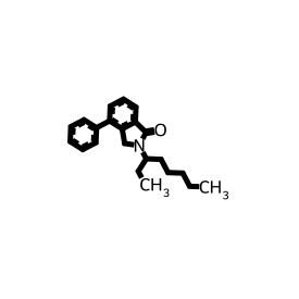 CCCCCC(CC)N1Cc2c(cccc2-c2ccccc2)C1=O